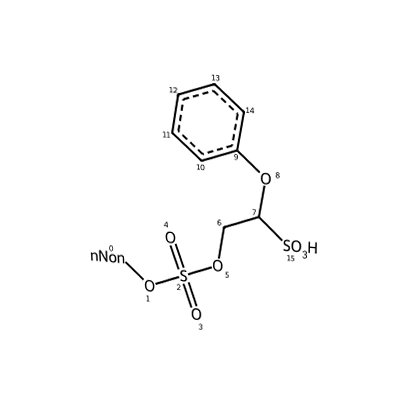 CCCCCCCCCOS(=O)(=O)OCC(Oc1ccccc1)S(=O)(=O)O